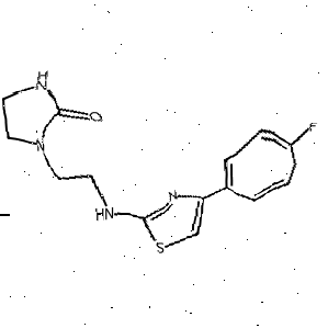 O=C1NCCN1CCNc1nc(-c2ccc(F)cc2)cs1